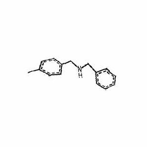 Cc1ccc(CNCc2c[c]ccc2)cc1